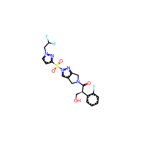 O=C([C@H](CO)c1ccccc1F)N1Cc2cn(S(=O)(=O)c3ccn(CC(F)F)n3)nc2C1